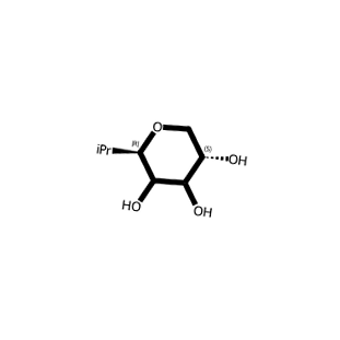 CC(C)[C@H]1OC[C@H](O)C(O)C1O